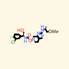 COC[C@H](C)Nc1ncc2c(n1)CN(OC(=O)N[C@H](CO)c1ccc(F)c(Cl)c1)CC2